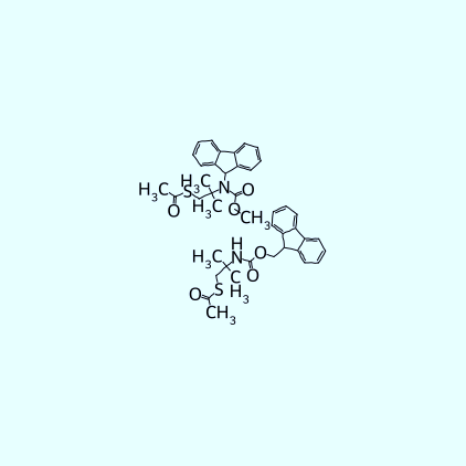 CC(=O)SCC(C)(C)NC(=O)OCC1c2ccccc2-c2ccccc21.COC(=O)N(C1c2ccccc2-c2ccccc21)C(C)(C)CSC(C)=O